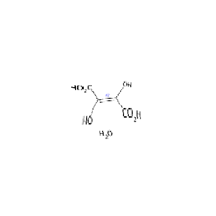 O.O=C(O)/C(O)=C(\O)C(=O)O